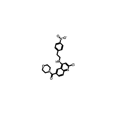 O=C(c1ccc2nc(Cl)cc(NCCc3ccc([N+](=O)[O-])cc3)c2c1)N1CCOCC1